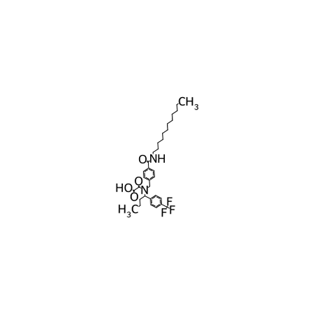 CCCCCCCCCCCCNC(=O)c1ccc(CN(C(=O)C(=O)O)C(CCC)c2ccc(C(F)(F)F)cc2)cc1